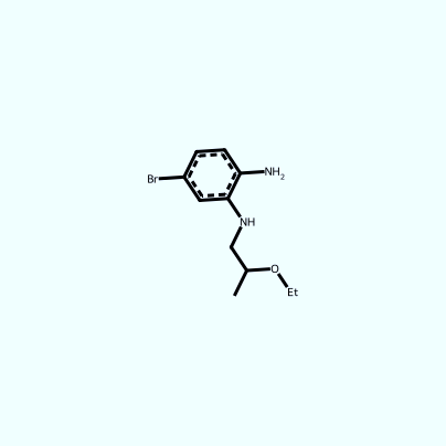 CCOC(C)CNc1cc(Br)ccc1N